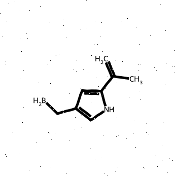 BCc1c[nH]c(C(=C)C)c1